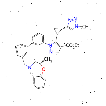 CCOC(=O)c1cnn(-c2cccc(-c3cccc(CN4Cc5ccccc5O[C@H](C)C4)c3)c2)c1C1CC1c1cn(C)nn1